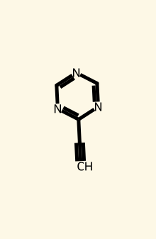 C#Cc1ncncn1